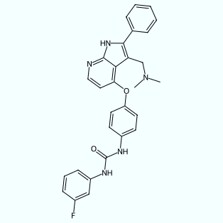 CN(C)Cc1c(-c2ccccc2)[nH]c2nccc(Oc3ccc(NC(=O)Nc4cccc(F)c4)cc3)c12